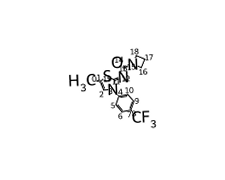 Cc1cn(-c2ccc(C(F)(F)F)cc2)c(=NC(=O)N2CCC2)s1